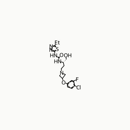 CCc1nnc(NC(=O)N[C@H](CO)CCN2CC(Oc3ccc(Cl)c(F)c3)C2)s1